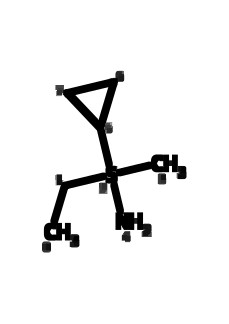 CCS(C)(N)C1CC1